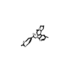 Cc1cnc2c(c1)c1c(n2CC(O)c2cnc(C)nc2)CCN2CCCC12